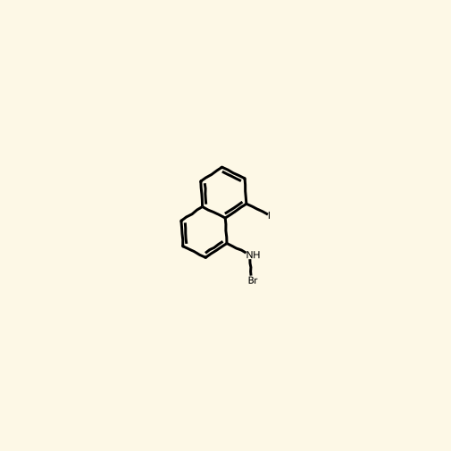 BrNc1cccc2cccc(I)c12